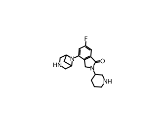 O=C1c2cc(F)cc(N3C4CNCC3C4)c2CN1C1CCCNC1